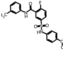 COc1ccc(NS(=O)(=O)c2ccc(F)c(C(=O)Nc3cccc(C)c3)c2)cc1